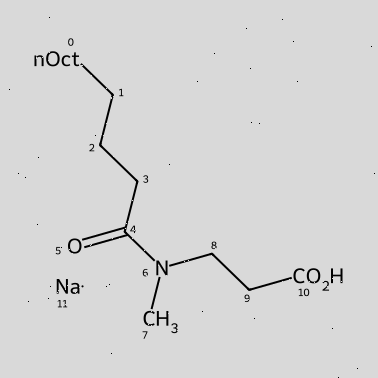 CCCCCCCCCCCC(=O)N(C)CCC(=O)O.[Na]